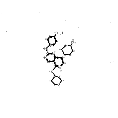 O=C(O)c1ccc(Nc2ncc3c(OC4CCOCC4)ncc([C@H]4CC[C@H](O)CC4)c3n2)cc1